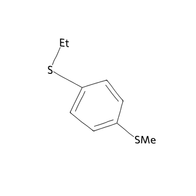 CCSc1ccc(SC)cc1